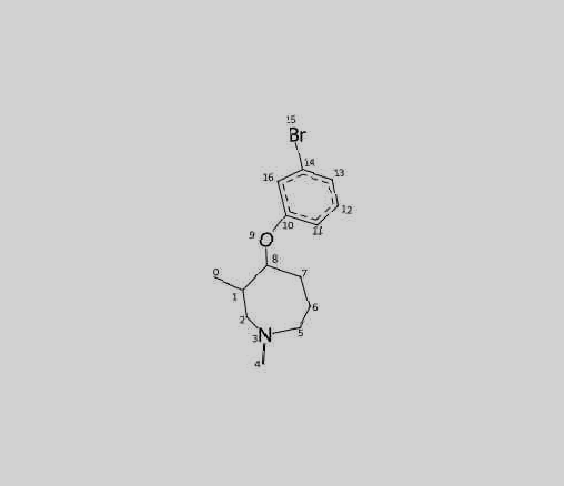 CC1CN(C)CCCC1Oc1cccc(Br)c1